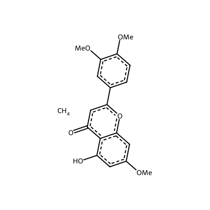 C.COc1cc(O)c2c(=O)cc(-c3ccc(OC)c(OC)c3)oc2c1